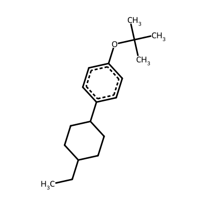 CCC1CCC(c2ccc(OC(C)(C)C)cc2)CC1